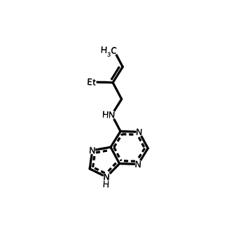 C/C=C(\CC)CNc1ncnc2[nH]cnc12